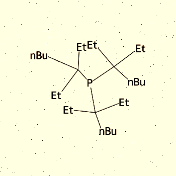 CCCCC(CC)(CC)P(C(CC)(CC)CCCC)C(CC)(CC)CCCC